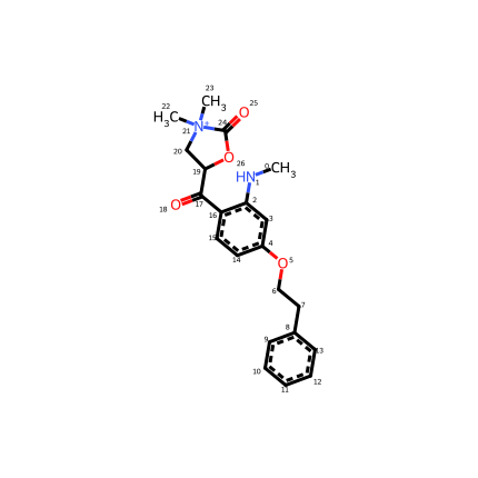 CNc1cc(OCCc2ccccc2)ccc1C(=O)C1C[N+](C)(C)C(=O)O1